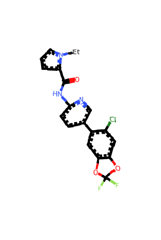 CCn1cccc1C(=O)Nc1ccc(-c2cc3c(cc2Cl)OC(F)(F)O3)cn1